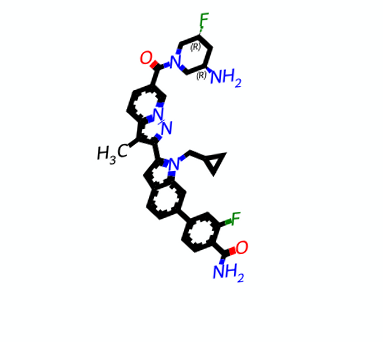 Cc1c(-c2cc3ccc(-c4ccc(C(N)=O)c(F)c4)cc3n2CC2CC2)nn2cc(C(=O)N3C[C@H](N)C[C@@H](F)C3)ccc12